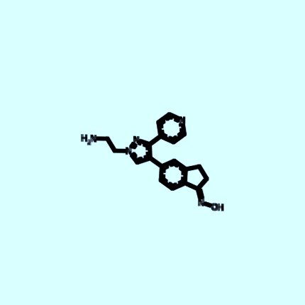 NCCn1cc(-c2ccc3c(c2)CC/C3=N\O)c(-c2ccncc2)n1